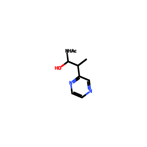 CC(=O)NC(O)C(C)c1cnccn1